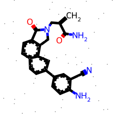 C=C(CN1Cc2c(ccc3ccc(-c4ccc(N)c(C#N)c4)cc23)C1=O)C(N)=O